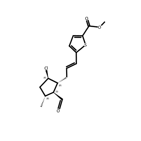 COC(=O)c1ccc(C=CC[C@@H]2[C@@H](C=O)[C@H](C)C[C@H]2Cl)s1